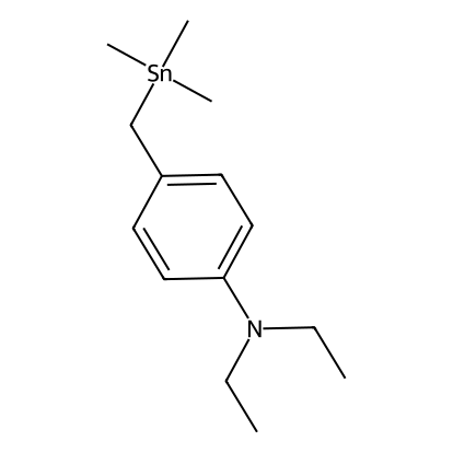 CCN(CC)c1ccc([CH2][Sn]([CH3])([CH3])[CH3])cc1